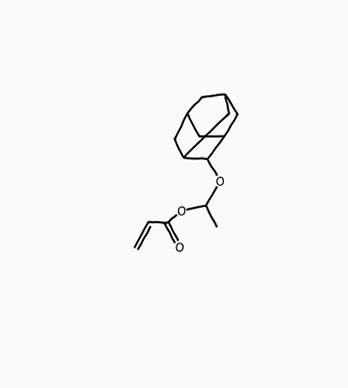 C=CC(=O)OC(C)OC1C2CC3CC(C2)CC1C3